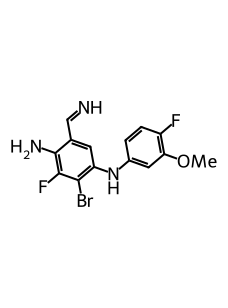 COc1cc(Nc2cc(C=N)c(N)c(F)c2Br)ccc1F